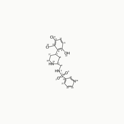 O=S(=O)(NCC1CC(c2c(O)ccc(Cl)c2Cl)CCN1)c1cccnc1